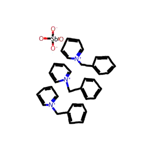 [O]=[Sb]([O-])([O-])[O-].c1ccc(C[n+]2ccccc2)cc1.c1ccc(C[n+]2ccccc2)cc1.c1ccc(C[n+]2ccccc2)cc1